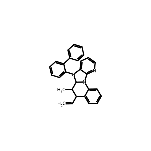 C=CC1c2ccccc2N2c3ncccc3N(c3ccccc3-c3ccccc3)C2C1C